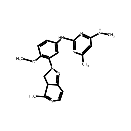 CNc1cc(C)nc(Nc2ccc(OC)c(N3CC4C(C)=NC=CC4=N3)c2)n1